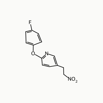 O=[N+]([O-])CCc1ccc(Oc2ccc(F)cc2)nc1